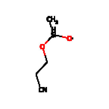 C[SiH]([O])OCCC#N